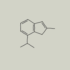 CC1=Cc2cccc(C(C)C)c2C1